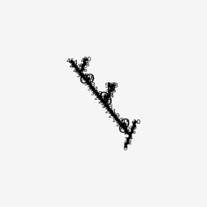 CCCCCC(CCCCC)CCOC(=O)CCCCCCCCCC(CCCCCCCCCC(=O)OCCC(CCCCC)CCCCC)OC(=O)CCCN(C)C